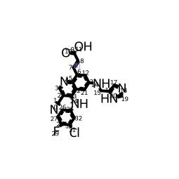 N#Cc1cnc2c(/C=C/C(=O)O)cc(NCc3cnc[nH]3)cc2c1Nc1ccc(F)c(Cl)c1